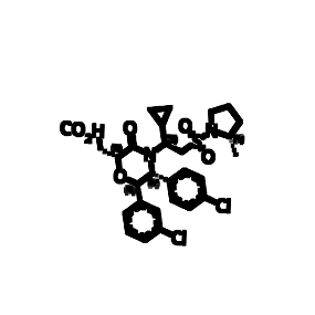 C[C@H]1CCCN1S(=O)(=O)C[C@H](C1CC1)N1C(=O)[C@@H](CC(=O)O)O[C@H](c2cccc(Cl)c2)[C@H]1c1ccc(Cl)cc1